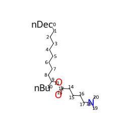 CCCCCCCCCCCCCCCCCCC(CCCC)OC(=O)CCCCN(C)C